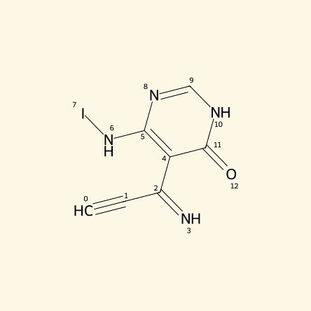 C#CC(=N)c1c(NI)nc[nH]c1=O